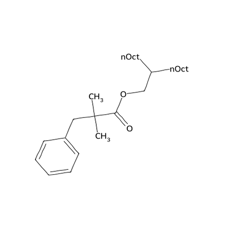 CCCCCCCCC(CCCCCCCC)COC(=O)C(C)(C)Cc1ccccc1